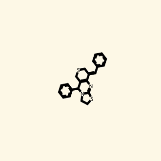 C(=C1CSCC2=C1N=C1SCCN1C2c1ccccc1)c1ccccc1